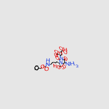 NC1C(=O)N(C(CCCCNC(=O)OCc2ccccc2)C(=O)O)C(=O)N(C(CCC(=O)O)C(=O)O)C1=O